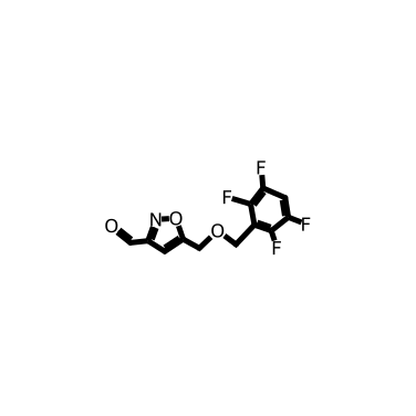 O=Cc1cc(COCc2c(F)c(F)cc(F)c2F)on1